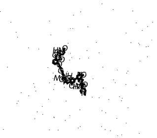 COc1cc(-c2cn(C)c(=O)c3cc(C(=O)NC4CCN(C)CC4)sc23)cc(OC)c1CN(C)CC(=O)NCCOCCOc1cccc2c1C(=O)N(C1CCC(=O)NC1=O)C2=O